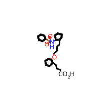 O=C(O)CCCc1ccccc1OCCCCc1ccccc1NS(=O)(=O)c1ccccc1